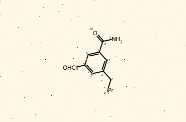 CC(C)Cc1cc(C=O)cc(C(N)=O)c1